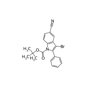 CC(C)(C)OC(=O)n1c(-c2ccccc2)c(Br)c2cc(C#N)ccc21